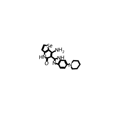 Nc1c(-c2nc3ccc(N4CCCCC4)cc3[nH]2)c(=O)[nH]c2cc[se]c12